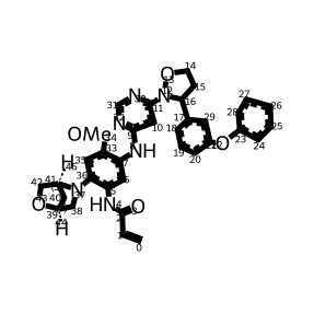 C=CC(=O)Nc1cc(Nc2cc(N3OCCC3c3cccc(Oc4ccccc4)c3)ncn2)c(OC)cc1N1C[C@@H]2C[C@H]1CO2